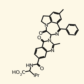 Cc1cc2c3c(c1)C(c1ccccc1)=NC(n1c(C)nc4cc(C(=O)NC(C(=O)O)C(C)C)ccc4c1=O)C(=O)N3CC2